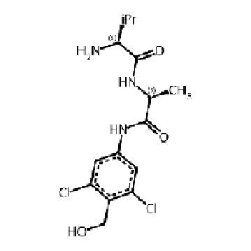 CC(C)[C@H](N)C(=O)N[C@@H](C)C(=O)Nc1cc(Cl)c(CO)c(Cl)c1